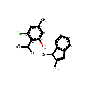 CC1=Cc2ccccc2[CH]1[Zr+].Cc1cc([O-])c(C(C)C)c(Cl)c1